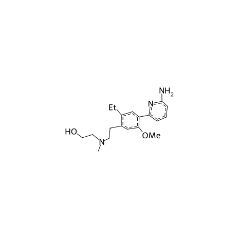 CCc1cc(-c2cccc(N)n2)c(OC)cc1CCN(C)CCO